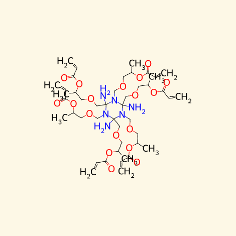 C=CC(=O)OC(C)COCN1C(N)(COCC(C)OC(=O)C=C)N(COCC(C)OC(=O)C=C)C(N)(COCC(C)OC(=O)C=C)N(COCC(C)OC(=O)C=C)C1(N)COCC(C)OC(=O)C=C